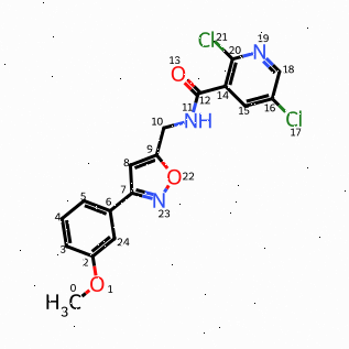 COc1cccc(-c2cc(CNC(=O)c3cc(Cl)cnc3Cl)on2)c1